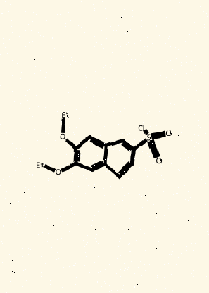 CCOc1cc2ccc(S(=O)(=O)Cl)cc2cc1OCC